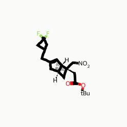 CC(C)(C)OC(=O)C[C@@]1(C[N+](=O)[O-])C[C@H]2CC(CC3CC(F)(F)C3)=C[C@H]21